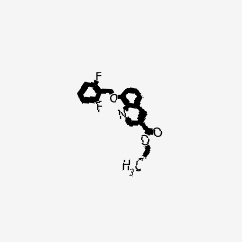 CCOC(=O)c1cnc2c(OCc3c(F)cccc3F)cccc2c1